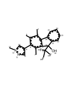 Cc1c(C)c2c(c(C)c1-c1cnn(C)c1)C(O)(C(F)(F)F)c1ccccc1-2